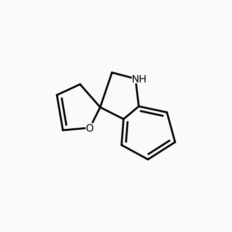 C1=COC2(C1)CNc1ccccc12